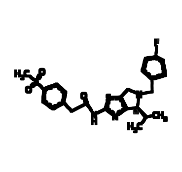 CC(C)[C@H]1c2nc(NC(=O)Cc3ccc(S(C)(=O)=O)cc3)sc2CN1Cc1ccc(F)cc1